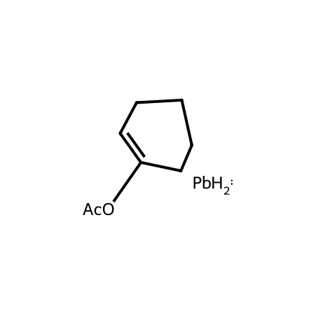 CC(=O)OC1=CCCCC1.[PbH2]